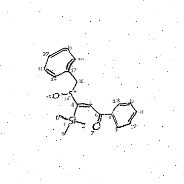 C[Si](C)(C)/C(=C\C(=O)c1ccccc1)[S+]([O-])Cc1ccccc1